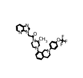 C[C@@H]1CN(c2cccc3c2CN(c2ccc(OC(F)(F)F)cc2)CC3)CCN1C(=O)Cn1cnc2cccnc21